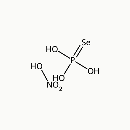 O=[N+]([O-])O.OP(O)(O)=[Se]